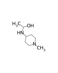 CC(O)NC1CCN(C)CC1